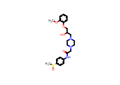 COc1ccccc1OCC(O)CN1CCN(CC(=O)Nc2ccc([S+](C)[O-])cc2)CC1